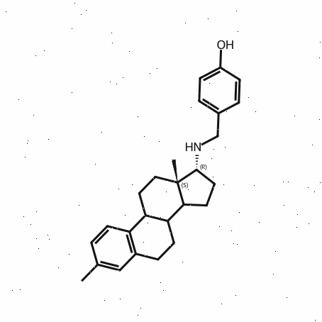 Cc1ccc2c(c1)CCC1C2CC[C@@]2(C)C1CC[C@H]2NCc1ccc(O)cc1